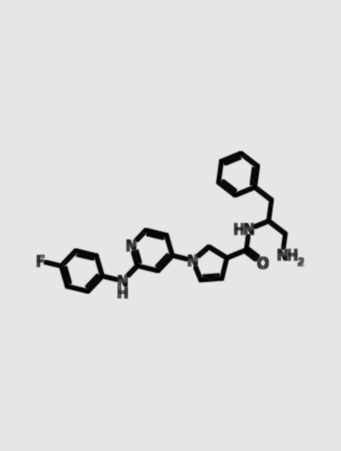 NCC(Cc1ccccc1)NC(=O)C1C=CN(c2ccnc(Nc3ccc(F)cc3)c2)C1